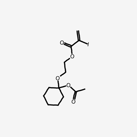 C=C(I)C(=O)OCCOC1(OC(C)=O)CCCCC1